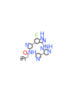 CC(C)CC(=O)Nc1cncc(-c2cc(F)c3[nH]nc(-c4nc5c(-c6cccnc6)ccnc5[nH]4)c3c2)c1